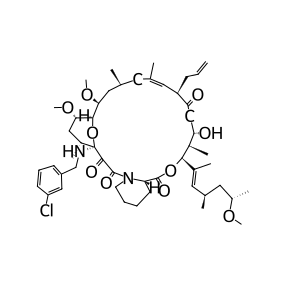 C=CC[C@@H]1/C=C(\C)C[C@H](C)C[C@H](OC)[C@H]2O[C@@](NCc3cccc(Cl)c3)(C(=O)C(=O)N3CCCC[C@H]3C(=O)O[C@H](/C(C)=C/[C@H](C)C[C@H](C)OC)[C@H](C)[C@@H](O)CC1=O)[C@H](C)C[C@@H]2OC